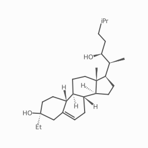 CC[C@]1(O)CC[C@H]2C(=CC[C@@H]3[C@@H]2CC[C@]2(C)[C@@H]([C@H](C)[C@@H](O)CCC(C)C)CC[C@@H]32)C1